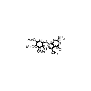 COc1nc(Cn2nc(C)c3c(Cl)nc(N)nc32)c(Cl)c(OC)c1OC